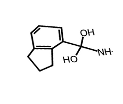 [NH]C(O)(O)c1cccc2c1CCC2